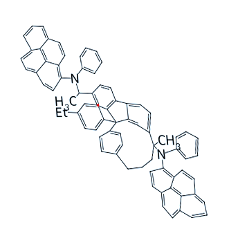 CCc1ccc(C23c4ccc(cc4)CCCC(C)(N(c4ccccc4)c4ccc5ccc6cccc7ccc4c5c67)c4ccc(c2c4)-c2ccc(C(C)N(c4ccccc4)c4ccc5ccc6cccc7ccc4c5c67)cc23)cc1